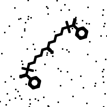 CC(C)(CCCCCC(=O)CCCCCC(C)(C)C(=O)c1ccccc1)C(=O)c1ccccc1